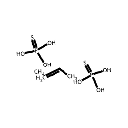 C.C=CC.OP(O)(O)=S.OP(O)(O)=S